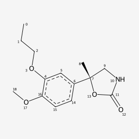 CCCOc1cc([C@]2(C)CNC(=O)O2)ccc1OC